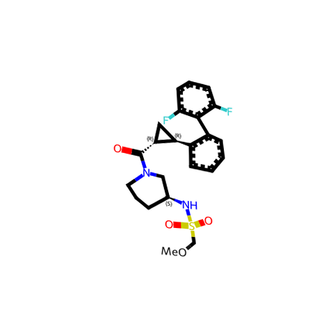 COCS(=O)(=O)N[C@H]1CCCN(C(=O)[C@@H]2C[C@H]2c2ccccc2-c2c(F)cccc2F)C1